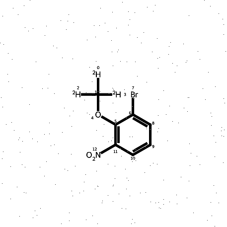 [2H]C([2H])([2H])Oc1c(Br)cccc1[N+](=O)[O-]